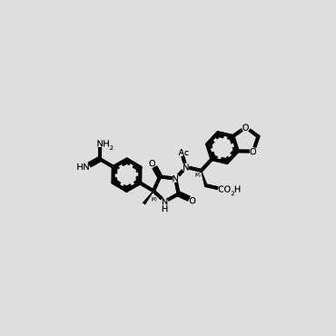 CC(=O)N([C@H](CC(=O)O)c1ccc2c(c1)OCO2)N1C(=O)N[C@](C)(c2ccc(C(=N)N)cc2)C1=O